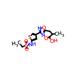 CCS(=O)(=O)Nc1cc(-c2noc(CC(C)C(=O)O)n2)cs1